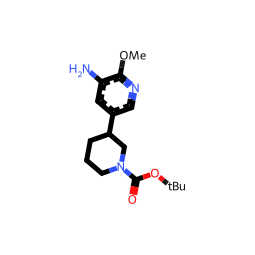 COc1ncc(C2CCCN(C(=O)OC(C)(C)C)C2)cc1N